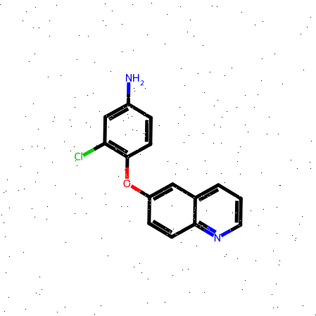 Nc1ccc(Oc2ccc3ncccc3c2)c(Cl)c1